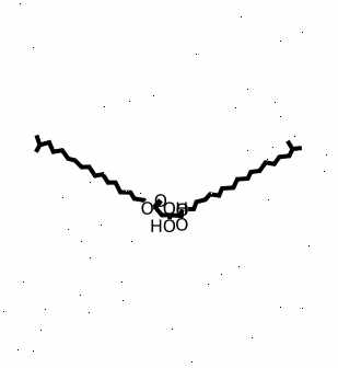 CC(C)CCCCCCCCCCCCCCCOC(=O)CC(O)(O)C(=O)OCCCCCCCCCCCCCCCC(C)C